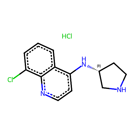 Cl.Clc1cccc2c(N[C@@H]3CCNC3)ccnc12